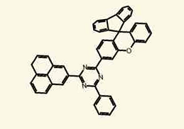 C1=Cc2cc(-c3nc(-c4ccccc4)nc(-c4ccc5c(c4)Oc4ccccc4C54c5ccccc5-c5ccccc54)n3)cc3cccc(c23)C1